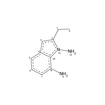 CCc1cc2cccc(N)c2n1N